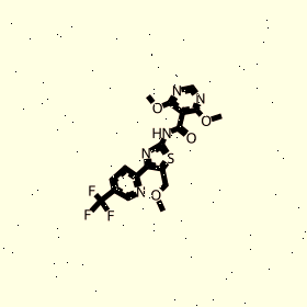 COCc1sc(NC(=O)c2c(OC)ncnc2OC)nc1-c1ccc(C(F)(F)F)cn1